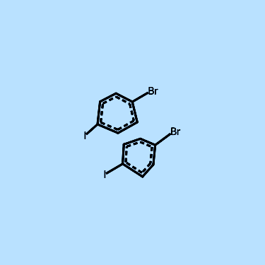 Brc1ccc(I)cc1.Brc1ccc(I)cc1